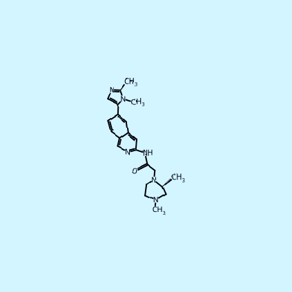 Cc1ncc(-c2ccc3cnc(NC(=O)CN4CCN(C)C[C@@H]4C)cc3c2)n1C